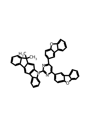 CC1(C)c2ccccc2-c2cc3c4ccccc4n(-c4nc(-c5ccc6oc7ccccc7c6c5)cc(-c5ccc6oc7ccccc7c6c5)n4)c3cc21